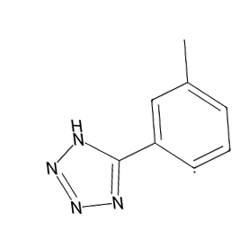 Cc1cc[c]c(-c2nnn[nH]2)c1